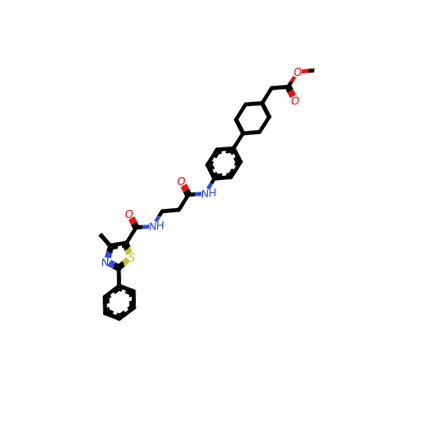 COC(=O)CC1CCC(c2ccc(NC(=O)CCNC(=O)c3sc(-c4ccccc4)nc3C)cc2)CC1